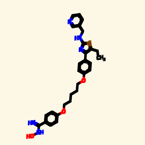 CCc1sc(NCc2cccnc2)nc1-c1ccc(OCCCCCOc2ccc(C(=N)NO)cc2)cc1